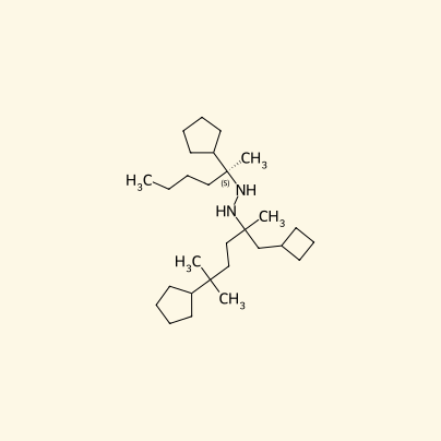 CCCC[C@](C)(NNC(C)(CCC(C)(C)C1CCCC1)CC1CCC1)C1CCCC1